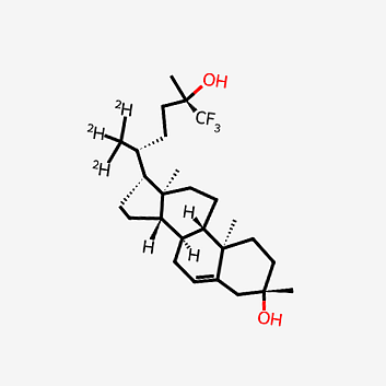 [2H]C([2H])([2H])[C@H](CC[C@](C)(O)C(F)(F)F)[C@H]1CC[C@H]2[C@@H]3CC=C4C[C@@](C)(O)CC[C@]4(C)[C@H]3CC[C@]12C